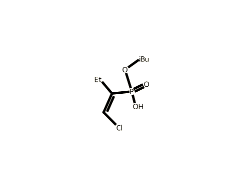 CCC(=CCl)P(=O)(O)OC(C)CC